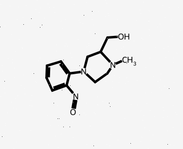 CN1CCN(c2ccccc2N=O)CC1CO